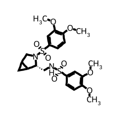 COc1ccc(S(=O)(=O)NC[C@@H]2C3CC3CN2S(=O)(=O)c2ccc(OC)c(OC)c2)cc1OC